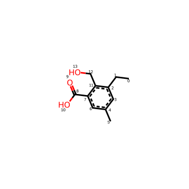 CCc1cc(C)cc(C(=O)O)c1CO